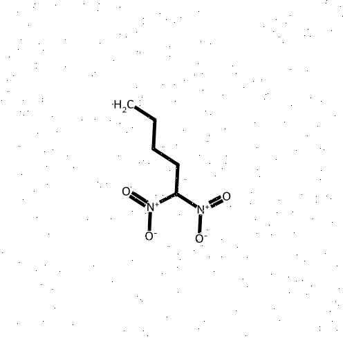 [CH2]CCC[C]([N+](=O)[O-])[N+](=O)[O-]